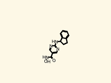 O=C(NO)c1cnc(NC2CCc3ccccc32)nc1